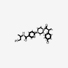 CC(C)CC(C)NC(=O)c1ccc(N2CCN(C(=O)C(C)c3ccc(Cl)cc3)CC2)nc1